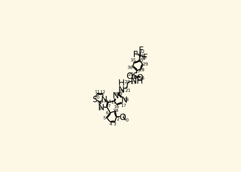 COc1cccc(-c2nc3sccn3c2-c2ccnc(NCCNS(=O)(=O)c3ccc(C(F)(F)F)cc3)n2)c1